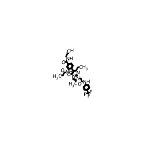 C#CCNC(=O)c1ccc(-c2c(CC)nc3n(CC(=O)Nc4ccc(C(F)(F)F)cc4)c(C)cn3c2=O)c(NC(=O)C=C)c1